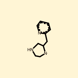 c1ccc(CC2CNCC[N]2)nc1